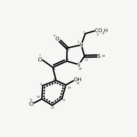 O=C(O)CN1C(=O)C(=C(Cl)c2cc(Cl)ccc2O)SC1=S